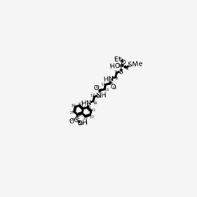 CCOP(O)(=CSC)SCCNC(=O)CCC(=O)NCCNc1cccc2c(S(=O)O)cccc12